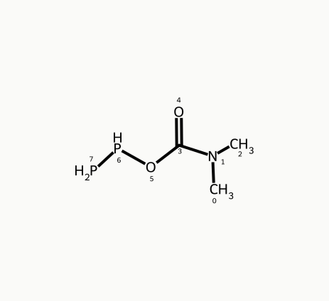 CN(C)C(=O)OPP